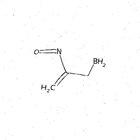 BCC(=C)N=O